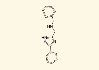 c1ccc(CNCc2nc(-c3ccccc3)c[nH]2)cc1